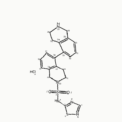 Cl.O=S(=O)(Nc1ncns1)N1CCc2c(cccc2-c2cccc3c2CCNC3)C1